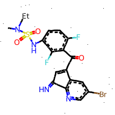 CCN(C)S(=O)(=O)Nc1ccc(F)c(C(=O)C2=CC(=N)c3ncc(Br)cc32)c1F